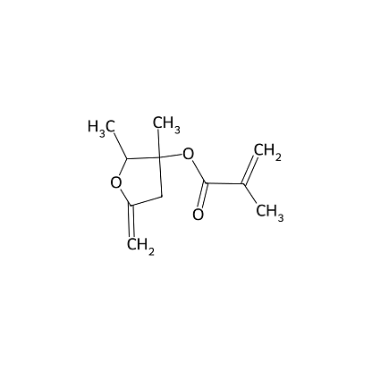 C=C1CC(C)(OC(=O)C(=C)C)C(C)O1